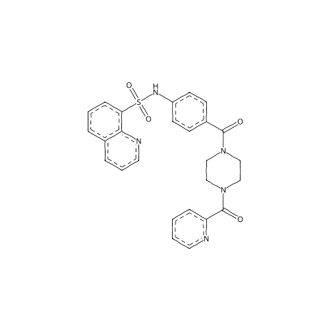 O=C(c1ccc(NS(=O)(=O)c2cccc3cccnc23)cc1)N1CCN(C(=O)c2ccccn2)CC1